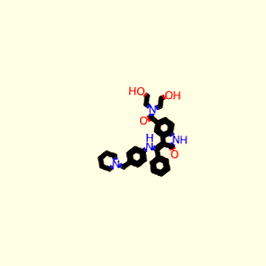 O=C1Nc2ccc(C(=O)N(CCO)CCO)cc2C1=C(Nc1ccc(CN2CCCCC2)cc1)c1ccccc1